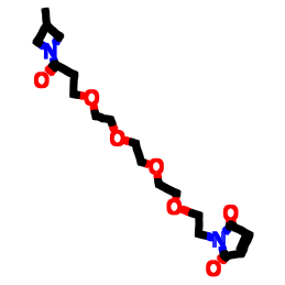 CC1CN(C(=O)CCOCCOCCOCCOCCN2C(=O)C=CC2=O)C1